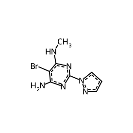 CNc1nc(-n2cccn2)nc(N)c1Br